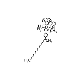 C=C(CCCCCCCCCCCCCCC)c1ccc(CCC(OC(C)(C)C)c2c(C)nc3ccccc3c2-c2ccc3c4c(ccnc24)CCO3)cc1